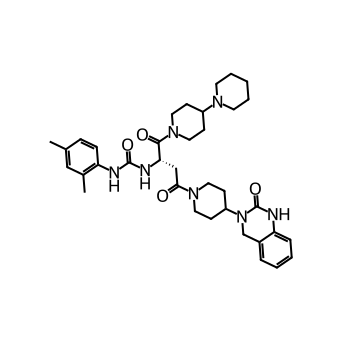 Cc1ccc(NC(=O)N[C@@H](CC(=O)N2CCC(N3Cc4ccccc4NC3=O)CC2)C(=O)N2CCC(N3CCCCC3)CC2)c(C)c1